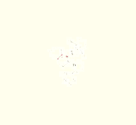 O=C(N1CCC[C@H]1c1nnn[nH]1)N(c1ccccc1)[C@H]1C[C@H]2CCC[C@@H](C1)N2[C@H]1C[C@@H]2CCC[C@@H](C2)C1